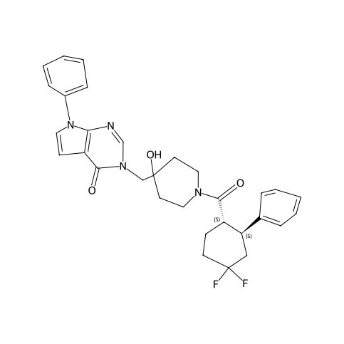 O=C([C@H]1CCC(F)(F)C[C@@H]1c1ccccc1)N1CCC(O)(Cn2cnc3c(ccn3-c3ccccc3)c2=O)CC1